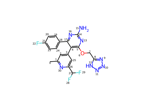 Cc1cc(-c2c(OCc3nnn[nH]3)nc(N)nc2-c2ccc(F)cc2)cc(C(F)F)n1